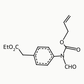 C=CCOC(=O)N(C=O)c1ccc(CC(=O)OCC)cc1